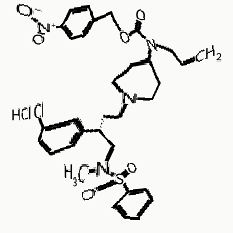 C=CCN(C(=O)OCc1ccc([N+](=O)[O-])cc1)C1CCN(CC[C@H](CN(C)S(=O)(=O)c2ccccc2)c2cccc(Cl)c2)CC1.Cl